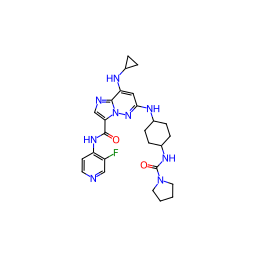 O=C(Nc1ccncc1F)c1cnc2c(NC3CC3)cc(NC3CCC(NC(=O)N4CCCC4)CC3)nn12